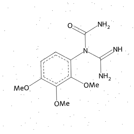 COc1ccc(N(C(=N)N)C(N)=O)c(OC)c1OC